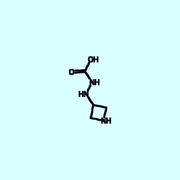 O=C(O)NNC1CNC1